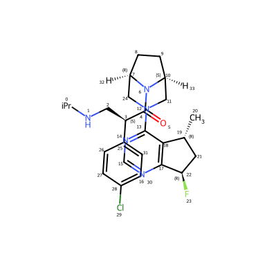 CC(C)NC[C@@H](C(=O)N1[C@@H]2CC[C@H]1CN(c1ncnc3c1[C@H](C)C[C@H]3F)C2)c1ccc(Cl)cc1